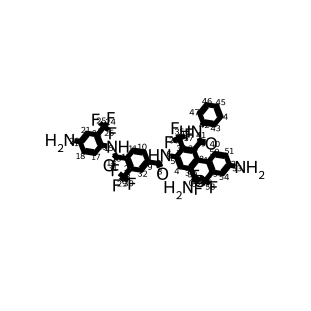 NC(=O)c1cc(NC(=O)c2ccc(C(=O)Nc3ccc(N)cc3C(F)(F)F)c(C(F)(F)F)c2)c(C(F)(F)F)c(C(=O)Nc2ccccc2)c1-c1ccc(N)cc1C(F)(F)F